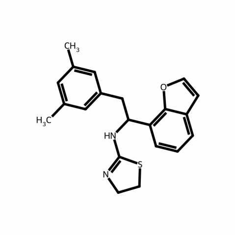 Cc1cc(C)cc(CC(NC2=NCCS2)c2cccc3ccoc23)c1